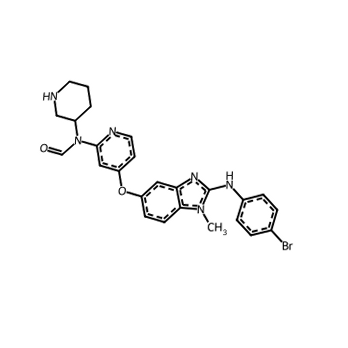 Cn1c(Nc2ccc(Br)cc2)nc2cc(Oc3ccnc(N(C=O)C4CCCNC4)c3)ccc21